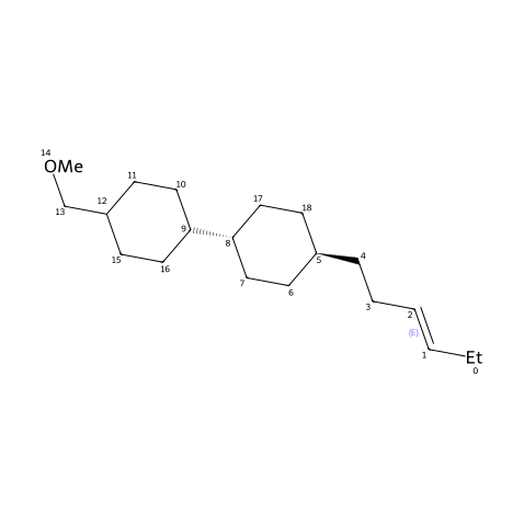 CC/C=C/CC[C@H]1CC[C@H](C2CCC(COC)CC2)CC1